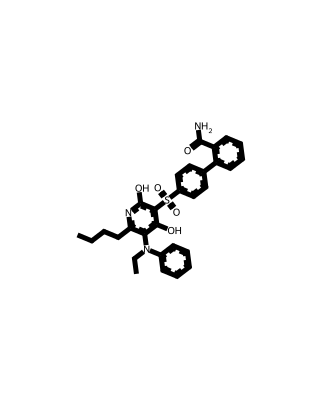 CCCCc1nc(O)c(S(=O)(=O)c2ccc(-c3ccccc3C(N)=O)cc2)c(O)c1N(CC)c1ccccc1